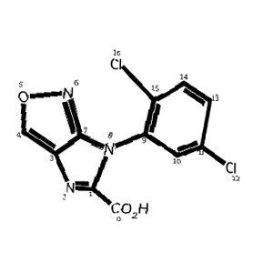 O=C(O)c1nc2conc2n1-c1cc(Cl)ccc1Cl